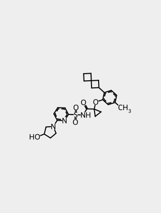 Cc1ccc(C2CC3(CCC3)C2)c(OC2(C(=O)NS(=O)(=O)c3cccc(N4CCC(O)C4)n3)CC2)c1